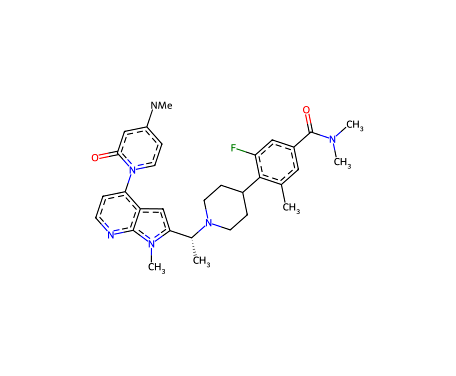 CNc1ccn(-c2ccnc3c2cc([C@@H](C)N2CCC(c4c(C)cc(C(=O)N(C)C)cc4F)CC2)n3C)c(=O)c1